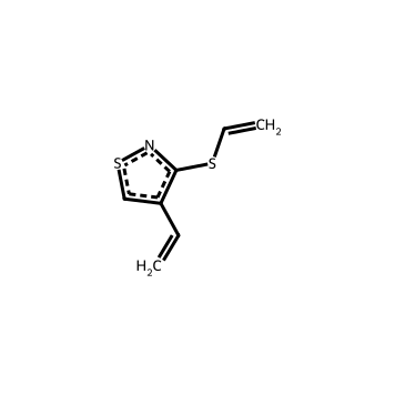 C=CSc1nscc1C=C